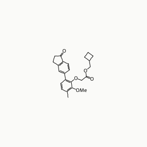 COc1c(C)ccc(-c2ccc3c(c2)CCC3=O)c1OCC(=O)OCC1CCC1